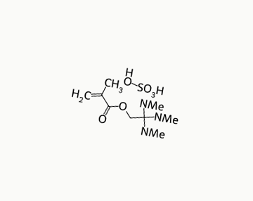 C=C(C)C(=O)OCC(NC)(NC)NC.O=S(=O)(O)O